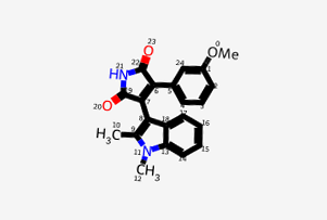 COc1cccc(C2=C(c3c(C)n(C)c4ccccc34)C(=O)NC2=O)c1